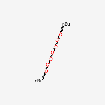 CCCCC=CC=COCCOCCOCCOCCOCCOCCOC=CC=CCCCC